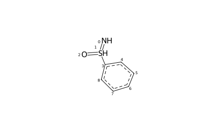 N=[SH](=O)c1ccccc1